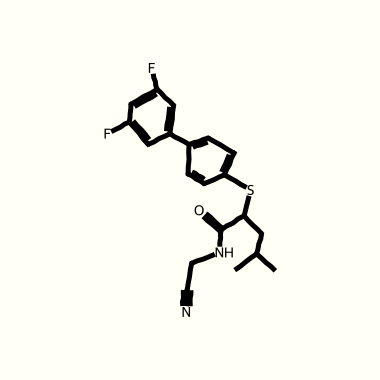 CC(C)CC(Sc1ccc(-c2cc(F)cc(F)c2)cc1)C(=O)NCC#N